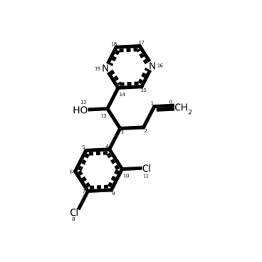 C=CCC(c1ccc(Cl)cc1Cl)C(O)c1cnccn1